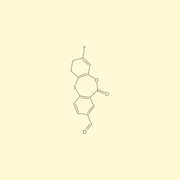 O=Cc1ccc2c(c1)C(=O)OC1=C(CCC(F)=C1)S2